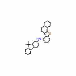 CC1(C)c2ccccc2-c2ccc(Nc3cccc4sc5c6ccccc6ccc5c34)cc21